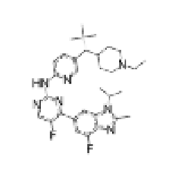 CCN1CCC([C@H](c2ccc(Nc3ncc(F)c(-c4cc(F)c5nc(C)n(C(C)C)c5c4)n3)nc2)C(C)(C)C)CC1